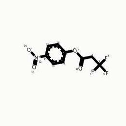 O=C(CC(F)(F)F)Oc1ccc([N+](=O)[O-])cc1